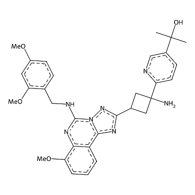 COc1ccc(CNc2nc3c(OC)cccc3c3nc(C4CC(N)(c5ccc(C(C)(C)O)cn5)C4)nn23)c(OC)c1